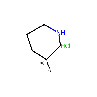 C[C@@H]1CCCNC1.Cl